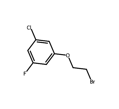 Fc1cc(Cl)cc(OCCBr)c1